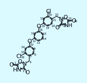 O=c1[nH]c(=O)n(Cc2ccc(Oc3cccc(Oc4ccc(Cn5oc(=O)[nH]c5=O)c(Cl)c4)c3)cc2Cl)o1